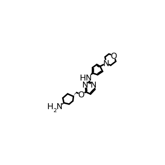 N[C@H]1CC[C@H](COc2ccnc(Nc3ccc(N4CCOCC4)cc3)n2)CC1